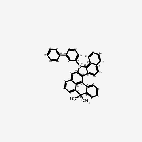 CC1(C)c2ccccc2-c2c3c1cccc3cc1c2c2ccc3ccccc3c2n1-c1cccc(-c2ccccc2)c1